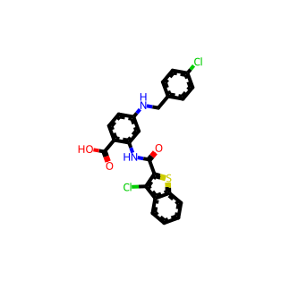 O=C(O)c1ccc(NCc2ccc(Cl)cc2)cc1NC(=O)c1sc2ccccc2c1Cl